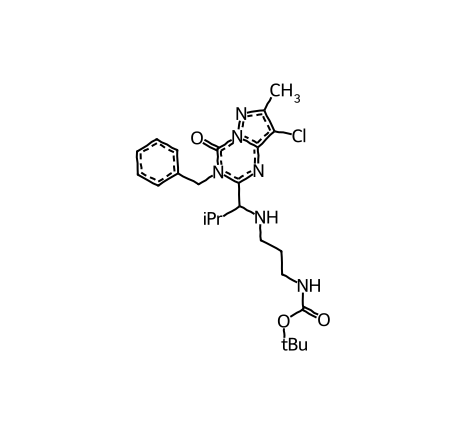 Cc1nn2c(=O)n(Cc3ccccc3)c(C(NCCCNC(=O)OC(C)(C)C)C(C)C)nc2c1Cl